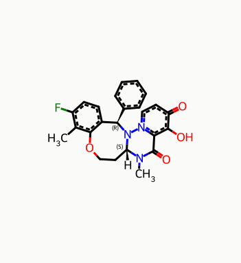 Cc1c(F)ccc2c1OCC[C@H]1N(C)C(=O)c3c(O)c(=O)ccn3N1[C@@H]2c1ccccc1